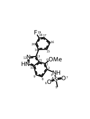 COc1c(NS(C)(=O)=O)ccc2[nH]nc(-c3cccc(F)c3)c12